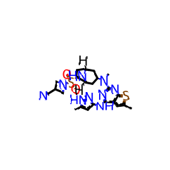 Cc1cc(Nc2nc(N(C)[C@@H]3C[C@H]4C[C@@H](S(=O)(=O)N5CC(C#N)C5)[C@@H](C3)N4)nc3sc(C)cc23)n[nH]1